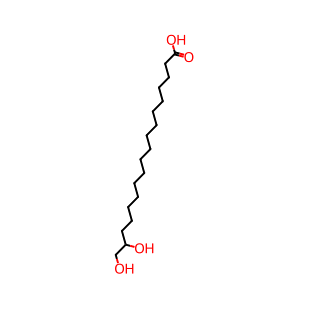 O=C(O)CCCCCCCCCCCCCCCC(O)CO